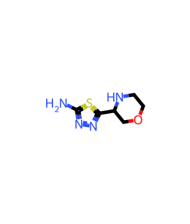 Nc1nnc(C2COCCN2)s1